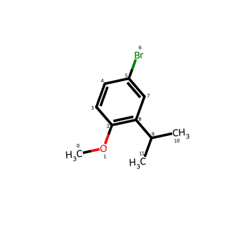 COc1ccc(Br)cc1[C](C)C